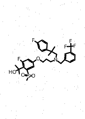 CC(C)(O)c1c(F)cc(OCCCN(Cc2cccc(C(F)(F)F)c2)CC(C)(C)c2ccc(F)cc2)cc1S(C)(=O)=O